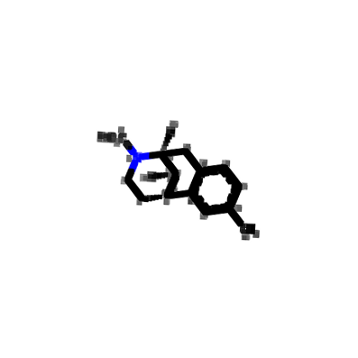 CCOC(=O)N1CC[C@@]23CCCC[C@@H]2[C@@H]1Cc1ccc(C)cc13